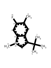 Cc1cc2c(C(C)(C)C)cn(C)c2cc1F